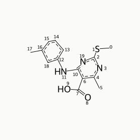 CSc1nc(C)c(C(=O)O)c(Nc2cccc(C)c2)n1